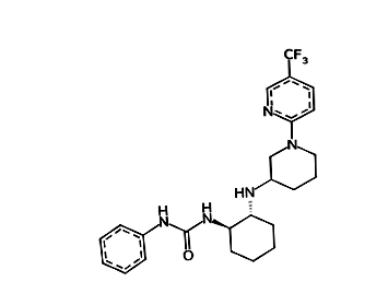 O=C(Nc1ccccc1)N[C@@H]1CCCC[C@H]1NC1CCCN(c2ccc(C(F)(F)F)cn2)C1